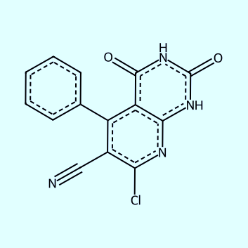 N#Cc1c(Cl)nc2[nH]c(=O)[nH]c(=O)c2c1-c1ccccc1